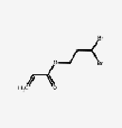 C=CC(=O)OCCC(Br)Br